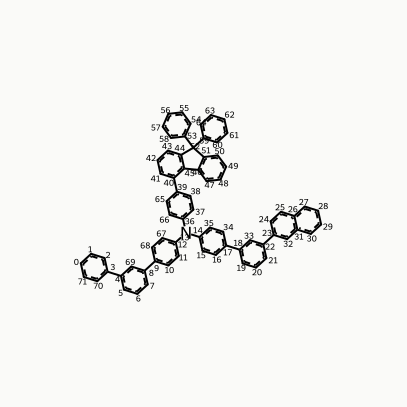 c1ccc(-c2cccc(-c3ccc(N(c4ccc(-c5cccc(-c6ccc7ccccc7c6)c5)cc4)c4ccc(-c5cccc6c5-c5ccccc5C6(c5ccccc5)c5ccccc5)cc4)cc3)c2)cc1